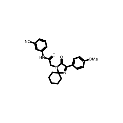 COc1ccc(C2=NC3(CCCCC3)N(CC(=O)Nc3cccc(C#N)c3)C2=O)cc1